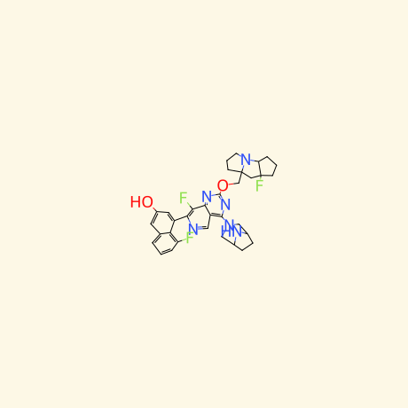 Oc1cc(-c2ncc3c(N4CC5CCC(C4)N5)nc(OCC45CCCN4C4CCCC4(F)C5)nc3c2F)c2c(F)cccc2c1